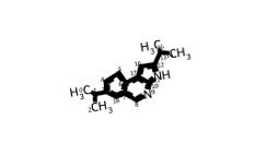 CC(C)c1ccc2c(cnc3[nH]c(C(C)C)cc32)c1